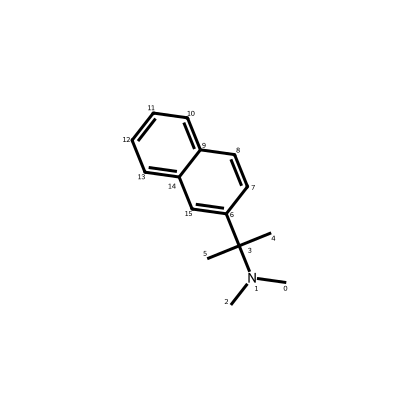 CN(C)C(C)(C)c1ccc2ccccc2c1